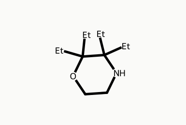 CCC1(CC)NCCOC1(CC)CC